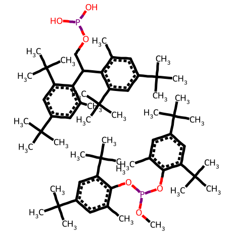 COP(Oc1c(C)cc(C(C)(C)C)cc1C(C)(C)C)Oc1c(C)cc(C(C)(C)C)cc1C(C)(C)C.Cc1cc(C(C)(C)C)cc(C(C)(C)C)c1C(COP(O)O)c1c(C)cc(C(C)(C)C)cc1C(C)(C)C